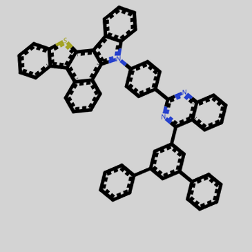 c1ccc(-c2cc(-c3ccccc3)cc(-c3nc(-c4ccc(-n5c6ccccc6c6c7sc8ccccc8c7c7ccccc7c65)cc4)nc4ccccc34)c2)cc1